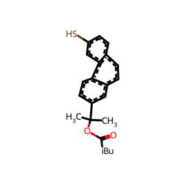 CCC(C)C(=O)OC(C)(C)c1ccc2c(ccc3ccc(S)cc32)c1